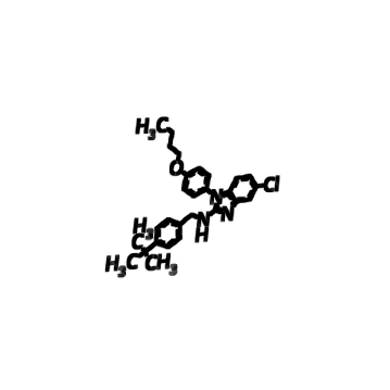 CCCCOc1ccc(-n2c(NCc3ccc(C(C)(C)C)cc3)nc3cc(Cl)ccc32)cc1